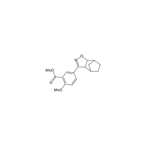 COC(=O)c1cc(C2=NOC3C4CCC(C4)C23)ccc1OC